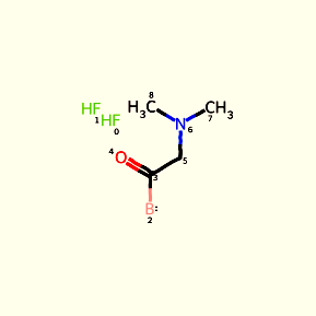 F.F.[B]C(=O)CN(C)C